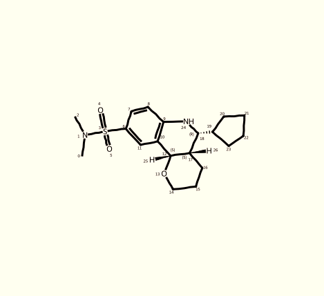 CN(C)S(=O)(=O)c1ccc2c(c1)[C@H]1OCCC[C@H]1[C@@H](C1CCCC1)N2